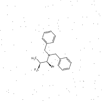 CC(C)[C@@H]([C@H](C)C(F)(F)F)N(Cc1ccccc1)Cc1ccccc1